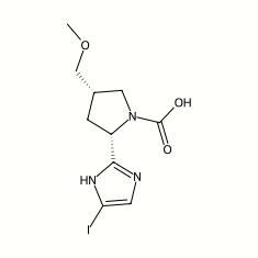 COC[C@H]1C[C@@H](c2ncc(I)[nH]2)N(C(=O)O)C1